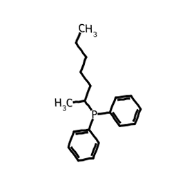 CCCCCC(C)P(c1ccccc1)c1ccccc1